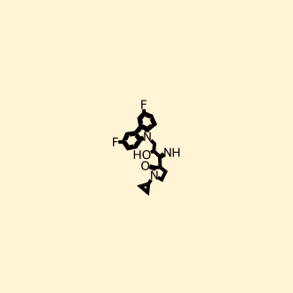 N=C(C(O)Cn1c2ccc(F)cc2c2cc(F)ccc21)C1CCN(C2CC2)C1=O